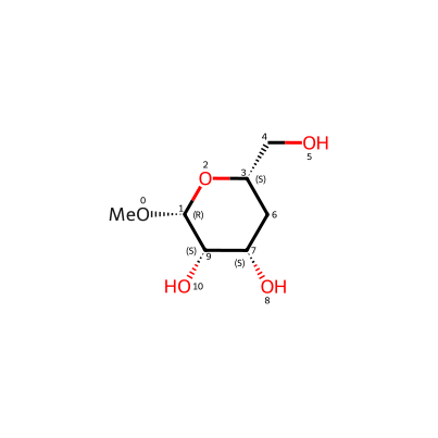 CO[C@@H]1O[C@H](CO)C[C@H](O)[C@@H]1O